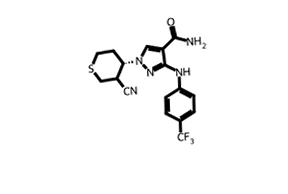 N#CC1CSCC[C@@H]1n1cc(C(N)=O)c(Nc2ccc(C(F)(F)F)cc2)n1